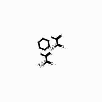 C1CCCCC1.C=C(C)C(N)=O.C=C(C)C(N)=O